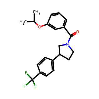 CC(C)Oc1cccc(C(=O)N2CCC(c3ccc(C(F)(F)F)cc3)C2)c1